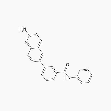 Nc1ncc2cc(-c3cccc(C(=O)Nc4ccccc4)c3)ccc2n1